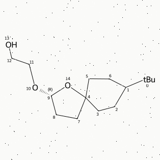 CC(C)(C)C1CCC2(CC1)CC[C@H](OCCO)O2